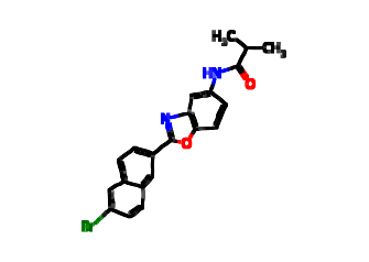 CC(C)C(=O)Nc1ccc2oc(-c3ccc4cc(Br)ccc4c3)nc2c1